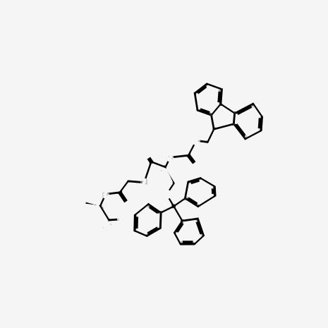 C[C@@H](O)[C@H](NC(=O)CNC(=O)[C@H](CSC(c1ccccc1)(c1ccccc1)c1ccccc1)NC(=O)OCC1c2ccccc2-c2ccccc21)C(=O)O